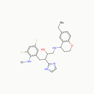 CCNc1c(F)cc(F)cc1CC(c1ncc[nH]1)C(O)CNC1CCOc2ccc(CC(C)(C)C)cc21